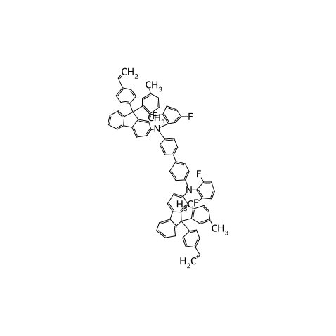 C=Cc1ccc(C2(c3cc(C)ccc3C)c3ccccc3-c3ccc(N(c4ccc(-c5ccc(N(c6ccc7c(c6)C(c6ccc(C=C)cc6)(c6cc(C)ccc6C)c6ccccc6-7)c6c(F)cccc6F)cc5)cc4)c4cc(F)ccc4F)cc32)cc1